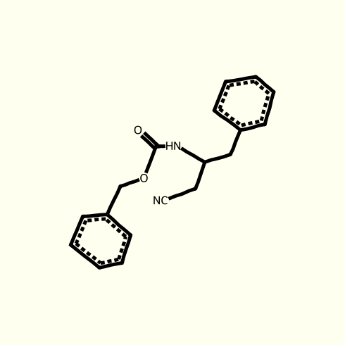 N#CCC(Cc1ccccc1)NC(=O)OCc1ccccc1